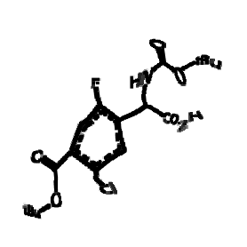 CC(C)(C)OC(=O)NC(C(=O)O)c1cc(Cl)c(C(=O)OC(C)(C)C)cc1F